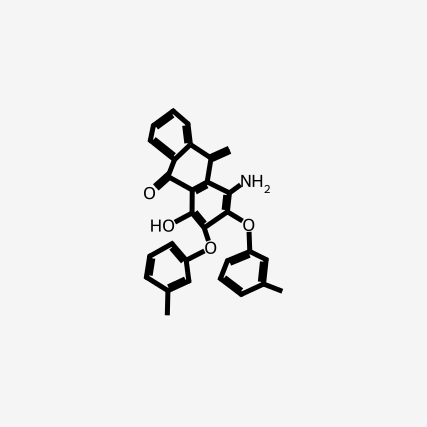 C=C1c2ccccc2C(=O)c2c(O)c(Oc3cccc(C)c3)c(Oc3cccc(C)c3)c(N)c21